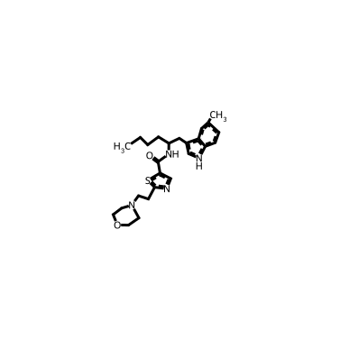 CCCCC(Cc1c[nH]c2ccc(C)cc12)NC(=O)c1cnc(CCN2CCOCC2)s1